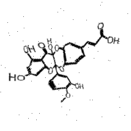 COc1ccc(C23Oc4ccc(/C=C/C(=O)O)cc4OC2(O)C(=O)c2c(O)cc(O)cc2O3)cc1O